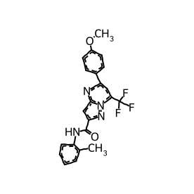 COc1ccc(-c2cc(C(F)(F)F)n3nc(C(=O)Nc4ccccc4C)cc3n2)cc1